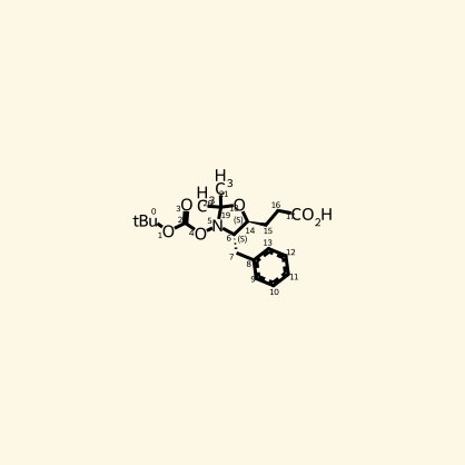 CC(C)(C)OC(=O)ON1[C@@H](Cc2ccccc2)[C@H](CCC(=O)O)OC1(C)C